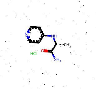 C[C@@H](Nc1ccncc1)C(N)=O.Cl